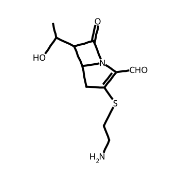 CC(O)C1C(=O)N2C(C=O)=C(SCCN)CC12